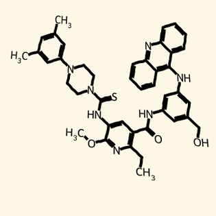 CCc1nc(OC)c(NC(=S)N2CCN(c3cc(C)cc(C)c3)CC2)cc1C(=O)Nc1cc(CO)cc(Nc2c3ccccc3nc3ccccc23)c1